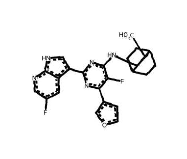 O=C(O)C1C2CCC(CC2)C1Nc1nc(-c2c[nH]c3ncc(F)cc23)nc(-c2ccoc2)c1F